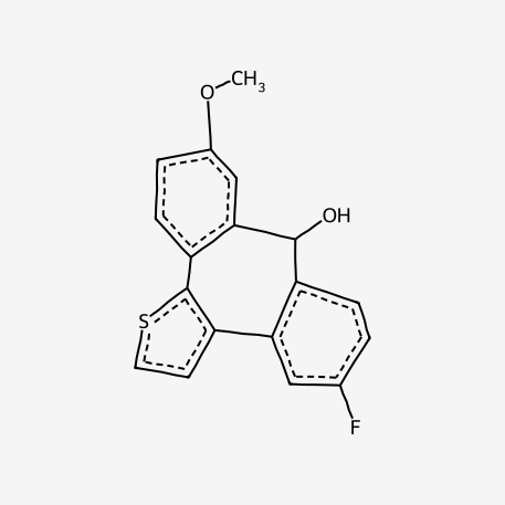 COc1ccc2c(c1)C(O)c1ccc(F)cc1-c1ccsc1-2